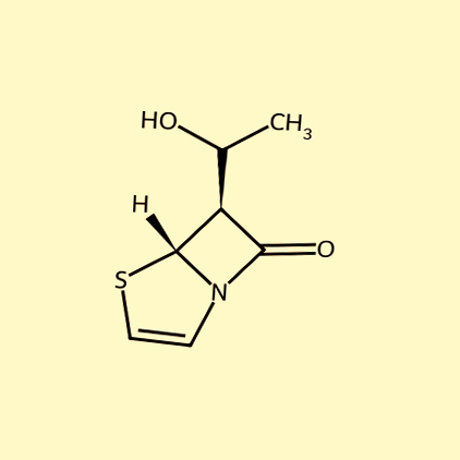 CC(O)[C@H]1C(=O)N2C=CS[C@H]12